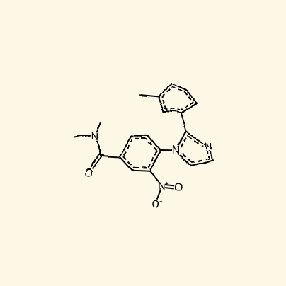 Cc1cccc(-c2nccn2-c2ccc(C(=O)N(C)C)cc2[N+](=O)[O-])c1